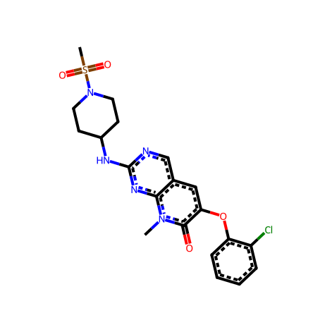 Cn1c(=O)c(Oc2ccccc2Cl)cc2cnc(NC3CCN(S(C)(=O)=O)CC3)nc21